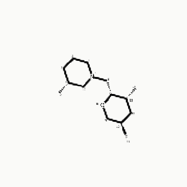 C[C@@H]1CCCN(C[C@H]2OC[C@H](F)C[C@H]2C)C1